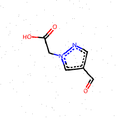 O=Cc1cnn(CC(=O)O)c1